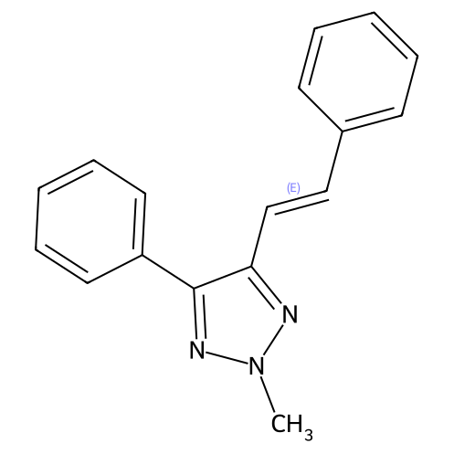 Cn1nc(/C=C/c2ccccc2)c(-c2ccccc2)n1